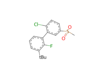 CC(C)(C)c1cccc(-c2cc(S(C)(=O)=O)ccc2Cl)c1F